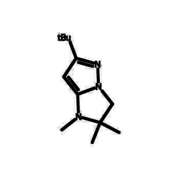 CN1c2cc(C(C)(C)C)nn2CC1(C)C